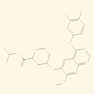 COc1cc2ncnc(Nc3ccc(F)c(Cl)c3)c2cc1OC1CCNC(C(=O)OC(C)C)C1